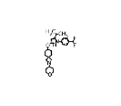 CC(C)c1cc(OC2CCC3(CC2)CN(C2CCOCC2)C3)nn1-c1ccc(C(F)F)cc1